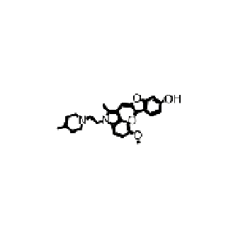 COc1ccc2c(c1)c(C=C1Oc3cc(O)ccc3C1=O)c(C)n2CCN1CCC(C)CC1